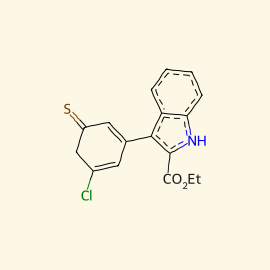 CCOC(=O)c1[nH]c2ccccc2c1C1=CC(=S)CC(Cl)=C1